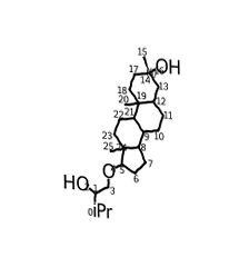 CC(C)C(O)COC1CCC2C3CCC4C[C@@](C)(O)CCC4(C)C3CCC12C